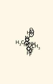 Cc1nnc(N[C@H](C)c2cccc(C(F)(F)F)c2F)c2cc(C3CCN4CCOC[C@@H]4C3)ncc12